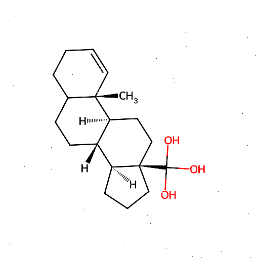 C[C@]12C=CCCC1CC[C@H]1[C@@H]3CCC[C@@]3(C(O)(O)O)CC[C@@H]12